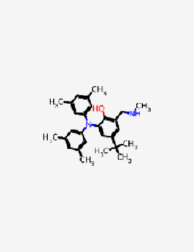 CNCc1cc(C(C)(C)C)cc(N(c2cc(C)cc(C)c2)c2cc(C)cc(C)c2)c1O